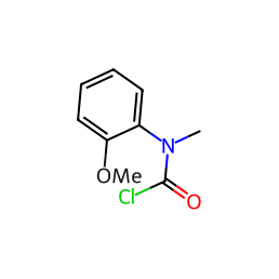 COc1ccccc1N(C)C(=O)Cl